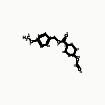 COc1ccc(COC(=O)C2CCC(OC=O)CC2)cc1